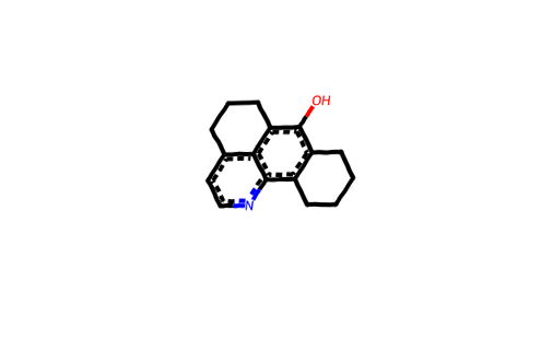 Oc1c2c(c3nccc4c3c1CCC4)CCCC2